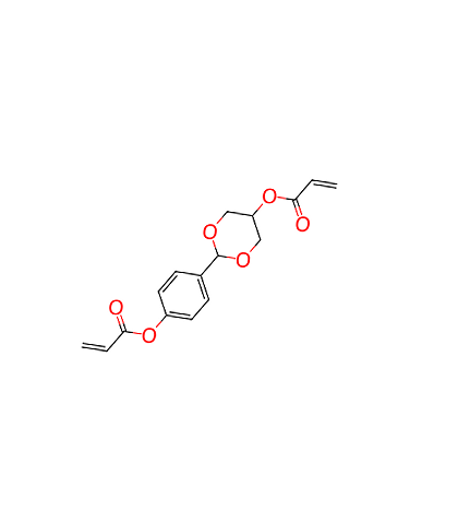 C=CC(=O)Oc1ccc(C2OCC(OC(=O)C=C)CO2)cc1